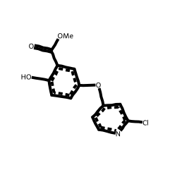 COC(=O)c1cc(Oc2ccnc(Cl)c2)ccc1O